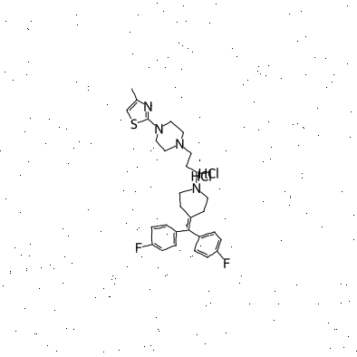 Cc1csc(N2CCN(CCCN3CCC(=C(c4ccc(F)cc4)c4ccc(F)cc4)CC3)CC2)n1.Cl.Cl